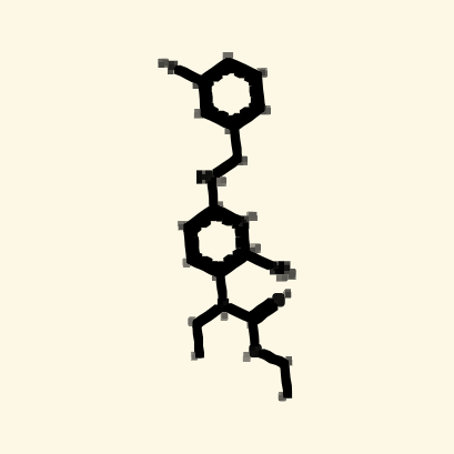 CCOC(=O)N(CC)c1ccc(NCc2cccc(F)c2)nc1N